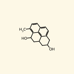 Cc1ccc2ccc3c4c2c1C(O)CC4CC(O)C3